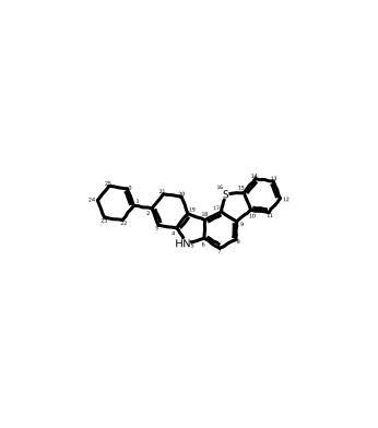 C1=C(C2=Cc3[nH]c4ccc5c6ccccc6sc5c4c3CC2)CCCC1